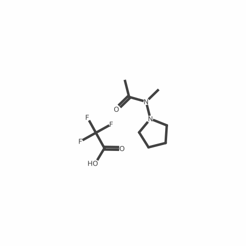 CC(=O)N(C)N1CCCC1.O=C(O)C(F)(F)F